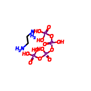 NCCN.O=P(O)(O)OP(=O)(O)OP(=O)(O)OP(=O)(O)O